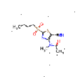 CCCCS(=O)(=O)c1nc(N(C)C(C)=O)c(C#N)s1